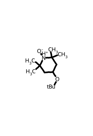 CC(C)(C)OC1CC(C)(C)[NH+]([O-])C(C)(C)C1